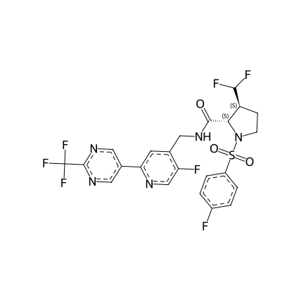 O=C(NCc1cc(-c2cnc(C(F)(F)F)nc2)ncc1F)[C@@H]1[C@@H](C(F)F)CCN1S(=O)(=O)c1ccc(F)cc1